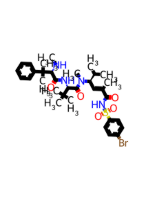 CN[C@H](C(=O)N[C@H](C(=O)N(C)[C@H](C=C(C)C(=O)NS(=O)(=O)c1ccc(Br)cc1)C(C)C)C(C)(C)C)C(C)(C)c1ccccc1